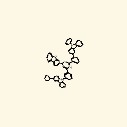 c1ccc(-c2ccc3c(c2)c2ccccc2n3-c2cccc(-c3nc(-c4cccc(-c5ccc6c(c5)c5ccccc5n6-c5ccccc5)c4)nc(-c4ccc5c(c4)oc4ccccc45)n3)c2)cc1